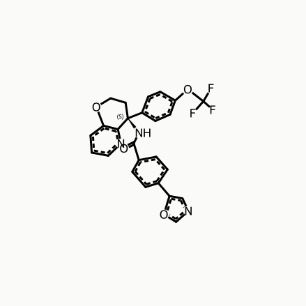 O=C(N[C@]1(c2ccc(OC(F)(F)F)cc2)CCOc2cccnc21)c1ccc(-c2cnco2)cc1